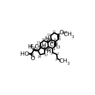 CCCCC1C=C2C=C(OC)CC[C@]2(C)[C@H]2CC[C@]3(C)C(=C(F)C(=O)O)CC[C@H]3[C@H]12